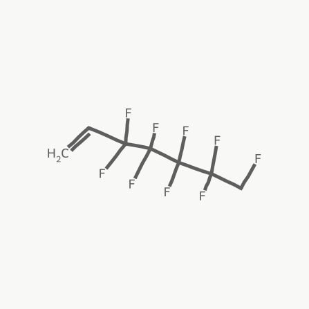 C=CC(F)(F)C(F)(F)C(F)(F)C(F)(F)CF